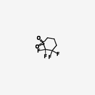 O=S1(=O)CCCC(F)(F)C1(F)F